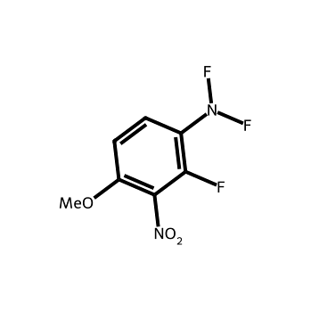 COc1ccc(N(F)F)c(F)c1[N+](=O)[O-]